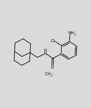 Nc1cccc(C(=O)NCC23CCCC(CCC2)C3)c1Cl.[CH2]